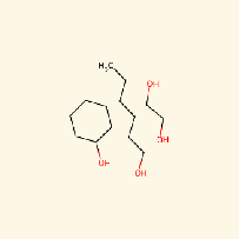 CCCCCCO.OC1CCCCC1.OCCO